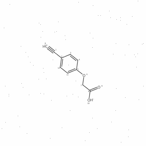 C#Cc1ccc(OCC(=O)O)cc1